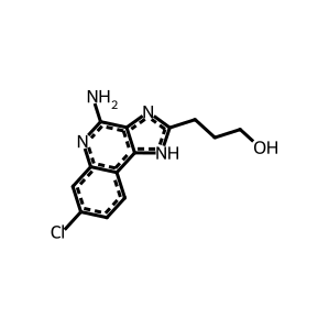 Nc1nc2cc(Cl)ccc2c2[nH]c(CCCO)nc12